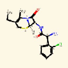 CC(=O)OCC1=C(C(=O)O)N2C(=O)[C@@H](NC(=O)C(N)c3ccccc3Cl)[C@H]2SC1